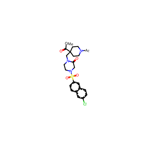 COC(=O)C1(CN2CCN(S(=O)(=O)c3ccc4cc(Cl)ccc4c3)CC2=O)CCN(C(C)=O)CC1